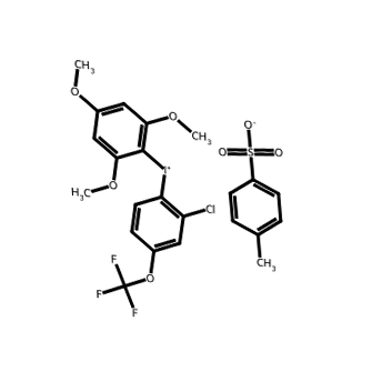 COc1cc(OC)c([I+]c2ccc(OC(F)(F)F)cc2Cl)c(OC)c1.Cc1ccc(S(=O)(=O)[O-])cc1